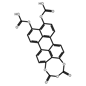 O=C(O)Oc1ccc2c3ccc4c5c(ccc(c6ccc(OC(=O)O)c1c26)c53)OC(=O)OC(=O)O4